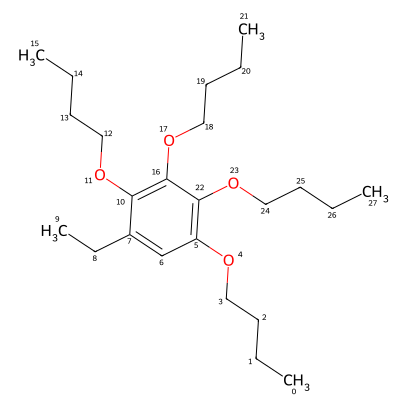 CCCCOc1cc(CC)c(OCCCC)c(OCCCC)c1OCCCC